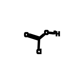 [2H]OC(=O)Cl